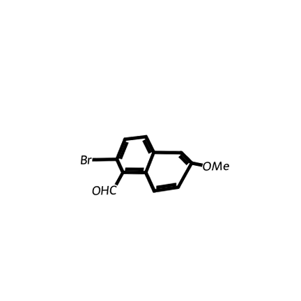 COc1ccc2c(C=O)c(Br)ccc2c1